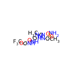 Cc1ccc(Nc2nccc(N(C)c3ccc(NC(=O)Nc4ccc(OC(F)(F)F)cc4)cc3)n2)cc1S(N)(=O)=O